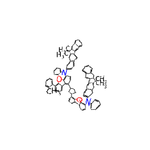 Cc1ccccc1-c1cccc2c1oc1c(N(c3ccccc3)c3ccc4cc5c(cc4c3)C(C)(C)c3cc4ccccc4cc3-5)ccc(C3CCC(c4cccc5c4oc4c(N(c6ccccc6)c6ccc7cc8c(cc7c6)C(C)(C)c6cc7ccccc7cc6-8)cccc45)C3)c12